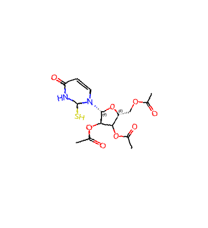 CC(=O)OC[C@H]1O[C@@H](N2C=CC(=O)NC2S)C(OC(C)=O)C1OC(C)=O